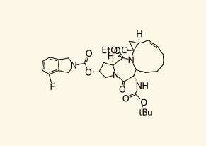 CCOC(=O)[C@@]12C[C@H]1/C=C\CCCCC1[C@H](NC(=O)OC(C)(C)C)C(=O)N3C[C@H](OC(=O)N4Cc5cccc(F)c5C4)C[C@H]3C(=O)N12